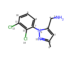 Cc1cc(CN)n(-c2cccc(Cl)c2Cl)n1